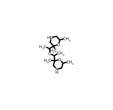 CC1CNCC(C)(C(C)OC(C)C2(C)CNCC(C)O2)O1